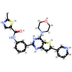 Cc1ncc(C(=O)Nc2cccc(-c3nc(N4CCOCC4)c4sc(-c5cccnc5)cc4n3)c2)s1